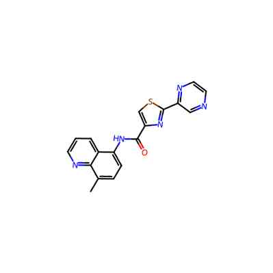 Cc1ccc(NC(=O)c2csc(-c3cnccn3)n2)c2cccnc12